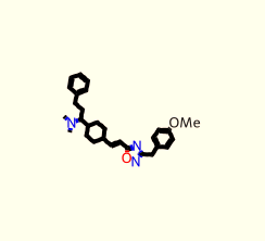 COc1ccc(Cc2noc(/C=C/C3CCC(C(CCc4ccccc4)N(C)C)CC3)n2)cc1